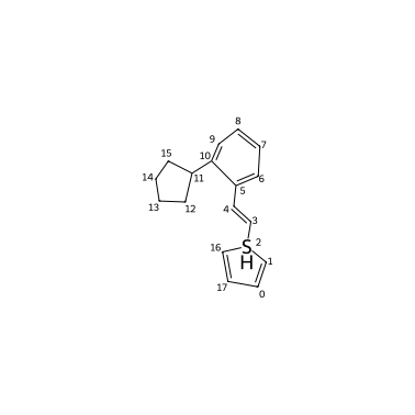 C1=C[SH](C=Cc2ccccc2C2CCCC2)C=C1